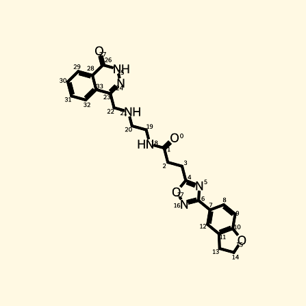 O=C(CCc1nc(-c2ccc3c(c2)CCO3)no1)NCCNCc1n[nH]c(=O)c2ccccc12